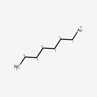 CC(=O)CCCCCCC#N